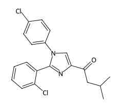 CC(C)CC(=O)c1cn(-c2ccc(Cl)cc2)c(-c2ccccc2Cl)n1